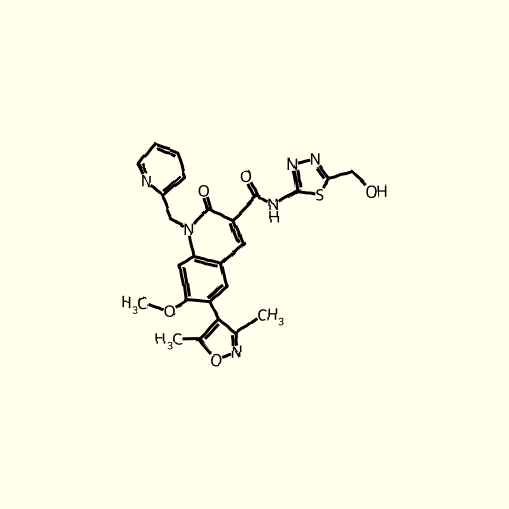 COc1cc2c(cc1-c1c(C)noc1C)cc(C(=O)Nc1nnc(CO)s1)c(=O)n2Cc1ccccn1